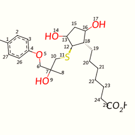 Cc1ccc(OCC(C)(O)CS[C@H]2C(O)CC(O)[C@@H]2CCCCCCC(=O)O)cc1